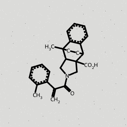 C=C(C(=O)N1CC2C3(C)CCC(c4ccccc43)C2(C(=O)O)C1)c1ccccc1C